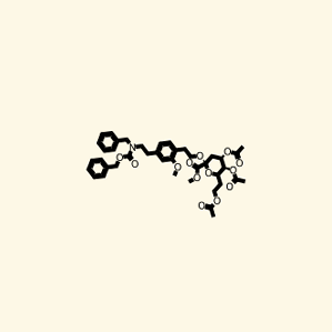 COC(=O)[C@@]1(OCCc2ccc(CCN(Cc3ccccc3)C(=O)OCc3ccccc3)cc2OC)C[C@@H](OC(C)=O)[C@@H](OC(C)=O)C(CCOC(C)=O)O1